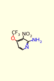 Nc1nccc(OC(F)(F)F)c1[N+](=O)[O-]